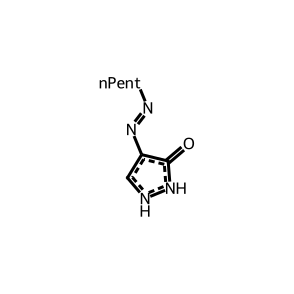 CCCCC/N=N/c1c[nH][nH]c1=O